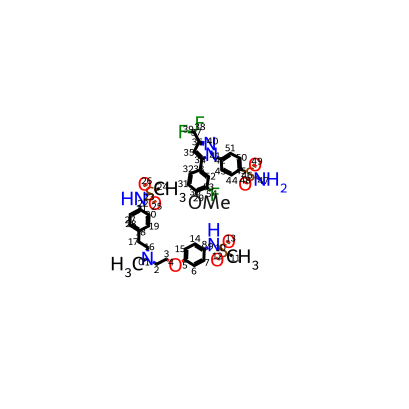 CN(CCOc1ccc(NS(C)(=O)=O)cc1)CCc1ccc(NS(C)(=O)=O)cc1.COc1ccc(-c2cc(C(F)F)nn2-c2ccc(S(N)(=O)=O)cc2)cc1F